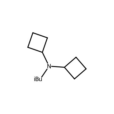 [CH2]CC(C)N(C1CCC1)C1CCC1